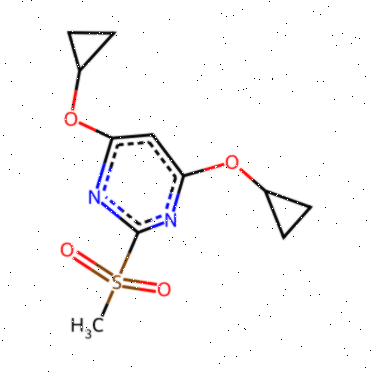 CS(=O)(=O)c1nc(OC2CC2)cc(OC2CC2)n1